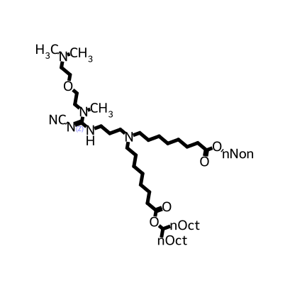 CCCCCCCCCOC(=O)CCCCCCCN(CCCCCCCC(=O)OC(CCCCCCCC)CCCCCCCC)CCCN/C(=N/C#N)N(C)CCOCCN(C)C